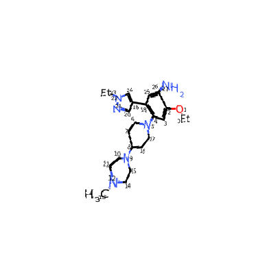 CCOc1cc(N2CCC(N3CCN(C)CC3)CC2)c(-c2cnn(CC)c2)cc1N